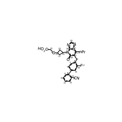 CCCc1c(Cc2ccc(-c3ccccc3C#N)cc2F)c(=O)n(C2CC(OCC(=O)O)C2)c2ncnn12